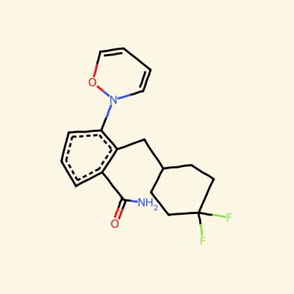 NC(=O)c1cccc(N2C=CC=CO2)c1CC1CCC(F)(F)CC1